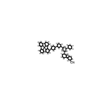 N#Cc1ccc2sc3c(-c4nc(-c5ccccc5)nc(-c5cccc(-c6ccc(-c7cccc8c7-c7ccccc7C87c8ccccc8-c8ccccc87)cc6)c5)n4)cccc3c2c1